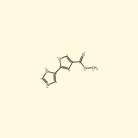 COC(=O)c1coc(-c2cnco2)c1